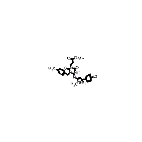 COC(=O)CCn1c(=O)[nH]/c(=N\C2=CC(c3ccc(Cl)cc3)NN2C)n(Cc2ccc(C)cc2)c1=O